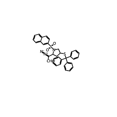 [N-]=[N+]=C(C=O)C1CC(SC(c2ccccc2)(c2ccccc2)c2ccccc2)CN1S(=O)(=O)c1ccc2ccccc2c1